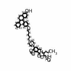 CCCC(C(=O)NC=O)N1Cc2cc(N3CCN(CCCCCOc4ccc(C5c6ccc(O)cc6CCC5c5ccccc5)cc4)CC3)c3c(c2C1=O)OCO3